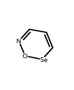 C1=C[Se]ON=C1